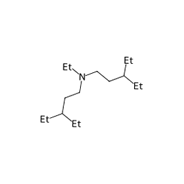 CCC(CC)CCN(CC)CCC(CC)CC